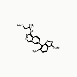 CNc1noc2c(-c3ccc4c(N[C@@H](C)COC)nncc4c3)c(C)ccc12